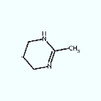 CC1=NC[C]CN1